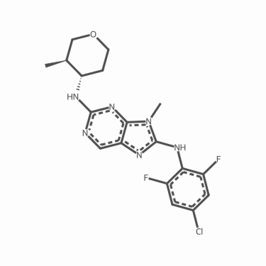 C[C@H]1COCC[C@@H]1Nc1ncc2nc(Nc3c(F)cc(Cl)cc3F)n(C)c2n1